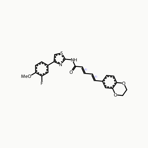 COc1ccc(-c2csc(NC(=O)/C=C/C=C/c3ccc4c(c3)OCCO4)n2)cc1F